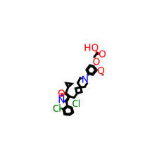 COc1cc(N2CCC3(CC2)CC(Cc2c(-c4c(Cl)cccc4Cl)noc2C2CC2)C3)ccc1OCC(=O)O